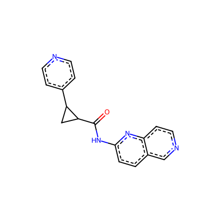 O=C(Nc1ccc2cnccc2n1)C1CC1c1ccncc1